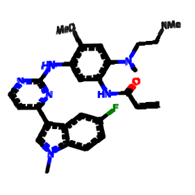 C=CC(=O)Nc1cc(Nc2nccc(-c3cn(C)c4ccc(F)cc34)n2)c(OC)cc1N(C)CCNC